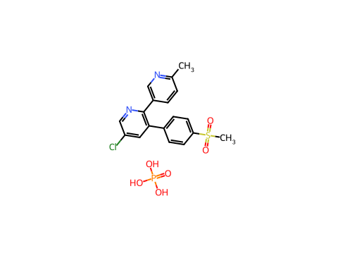 Cc1ccc(-c2ncc(Cl)cc2-c2ccc(S(C)(=O)=O)cc2)cn1.O=P(O)(O)O